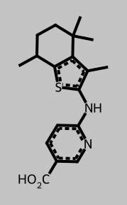 Cc1c(Nc2ccc(C(=O)O)cn2)sc2c1C(C)(C)CCC2C